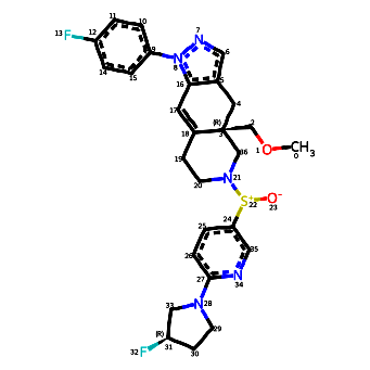 COC[C@]12Cc3cnn(-c4ccc(F)cc4)c3C=C1CCN([S+]([O-])c1ccc(N3CC[C@@H](F)C3)nc1)C2